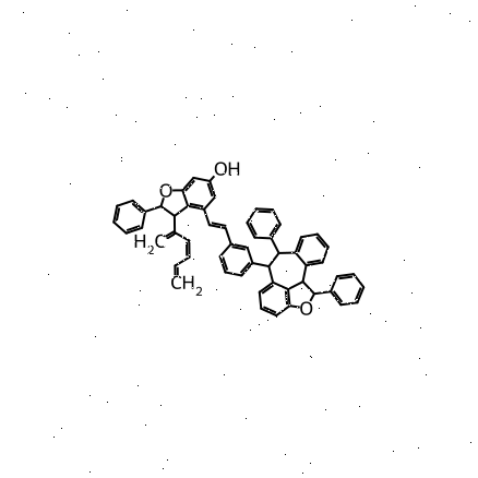 C=C/C=C\C(=C)C1c2c(/C=C/c3cccc(C4c5cccc6c5C(c5ccccc5C4c4ccccc4)C(c4ccccc4)O6)c3)cc(O)cc2OC1c1ccccc1